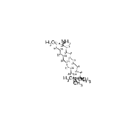 CCCCCCCCCCCCN.CCCCCCCCCCCC[N+](C)(C)C